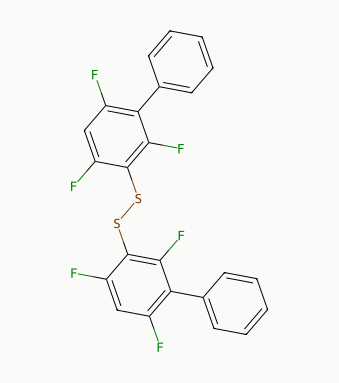 Fc1cc(F)c(-c2ccccc2)c(F)c1SSc1c(F)cc(F)c(-c2ccccc2)c1F